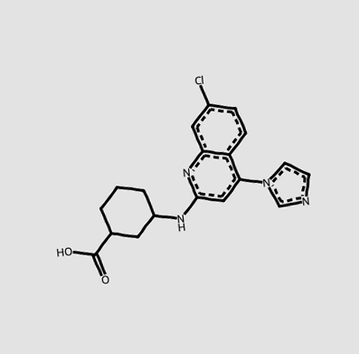 O=C(O)C1CCCC(Nc2cc(-n3ccnc3)c3ccc(Cl)cc3n2)C1